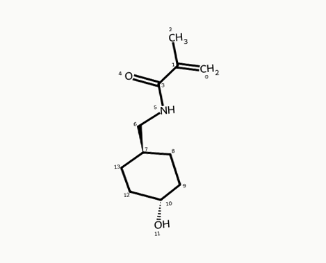 C=C(C)C(=O)NC[C@H]1CC[C@H](O)CC1